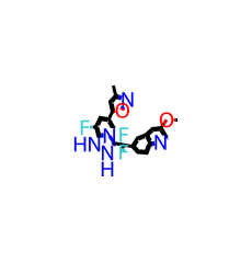 COc1cnc2ccc(C(F)(F)C(=N)n3cc(-c4cc(C)no4)cc(F)c3=N)cc2c1